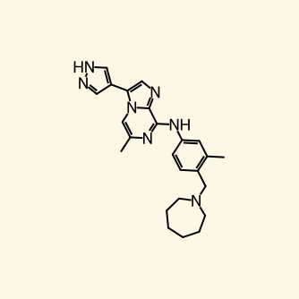 Cc1cn2c(-c3cn[nH]c3)cnc2c(Nc2ccc(CN3CCCCCC3)c(C)c2)n1